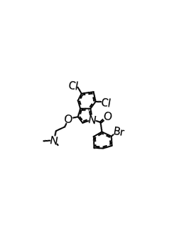 CN(C)CCOc1cn(C(=O)c2ccccc2Br)c2c(Cl)cc(Cl)cc12